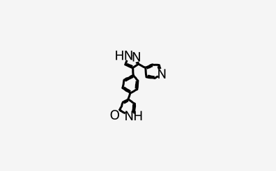 O=c1cc(-c2ccc(-c3c[nH]nc3-c3ccncc3)cc2)cc[nH]1